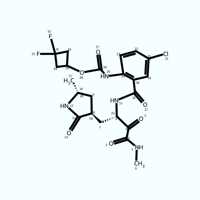 CNC(=O)C(=O)[C@H](C[C@@H]1C[C@@H](C)NC1=O)NC(=O)c1cc(Cl)ccc1NC(=O)OC1CC(F)(F)C1